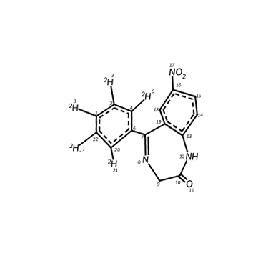 [2H]c1c([2H])c([2H])c(C2=NCC(=O)Nc3ccc([N+](=O)[O-])cc32)c([2H])c1[2H]